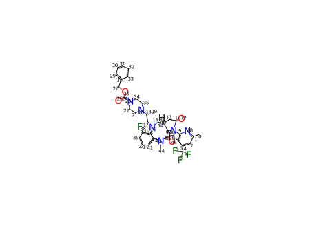 Cc1cc(C(F)(F)F)cc(N2C(=O)C[C@@H]3CN(CC(C)N4CCN(C(=O)OCc5ccccc5)CC4)c4c(F)cccc4N(C)C(=O)[C@H]32)n1